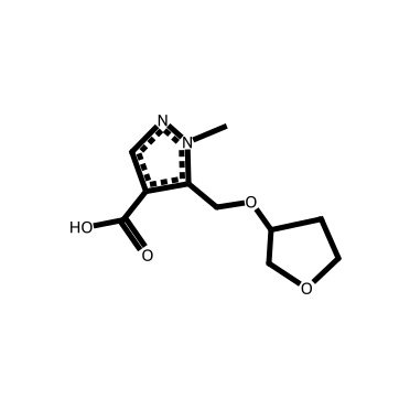 Cn1ncc(C(=O)O)c1COC1CCOC1